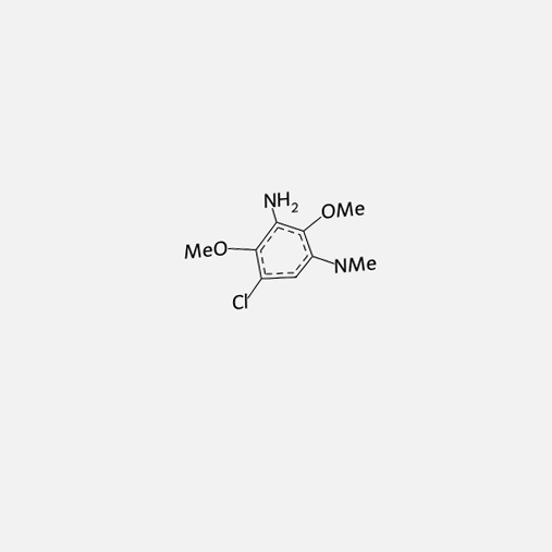 CNc1cc(Cl)c(OC)c(N)c1OC